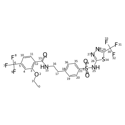 CCOc1cc(C(F)(F)F)ccc1C(=O)NCCc1ccc(S(=O)(=O)Nc2nnc(C(F)(F)F)s2)cc1